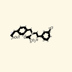 CCCCCCCC/C=C\c1ccc(CN(CCc2cccc(Cl)c2)C(=O)C(=O)O)cc1